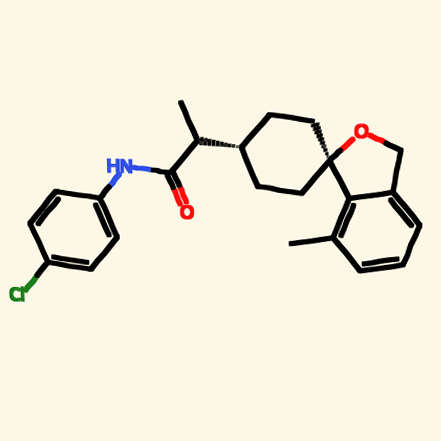 Cc1cccc2c1[C@]1(CC[C@@H](C(C)C(=O)Nc3ccc(Cl)cc3)CC1)OC2